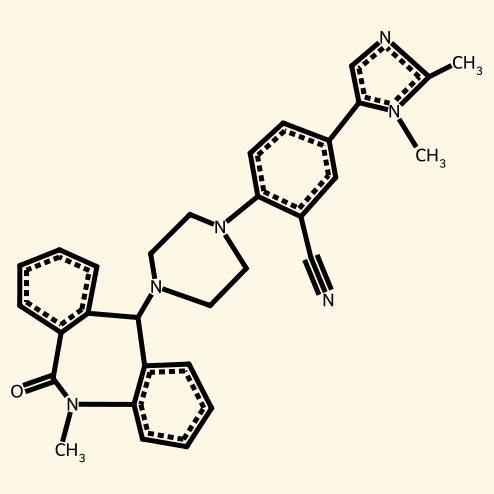 Cc1ncc(-c2ccc(N3CCN(C4c5ccccc5C(=O)N(C)c5ccccc54)CC3)c(C#N)c2)n1C